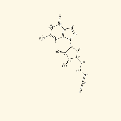 Nc1nc2c(ncn2[C@@H]2O[C@H](CON=C=O)[C@@H](O)[C@H]2O)c(=O)[nH]1